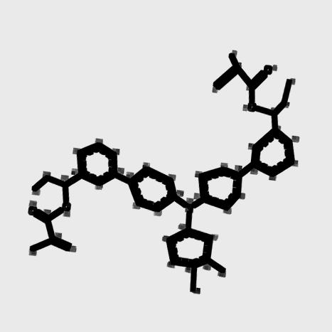 C=C(C)C(=O)OC(CC)c1cccc(-c2ccc(N(c3ccc(-c4cccc(C(CC)OC(=O)C(=C)C)c4)cc3)c3ccc(C)c(C)c3)cc2)c1